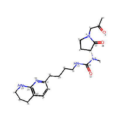 CC(=O)CN1CC[C@@H](N(C)C(=O)NCCCCc2ccc3c(n2)NCCC3)C1=O